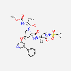 C=C[C@@](CC)(NC(=O)[C@@H]1C[C@@H](Oc2cncc(-c3ccccc3)c2)CN1C(=O)[C@@H](NC(=O)OC(C)(C)C)C(C)(C)C)C(=O)NS(=O)(=O)C1CC1